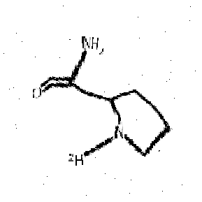 [2H]N1CCCC1C(N)=O